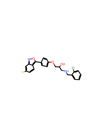 OC(CNCc1ccccc1Cl)COc1ccc(-c2onc3cc(F)ccc23)cc1